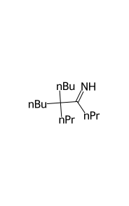 CCCCC(CCC)(CCCC)C(=N)CCC